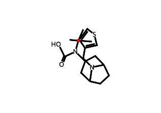 CC(C)(C)N(C(=O)O)C1CC2CCC(C1)N2Cc1ccsc1